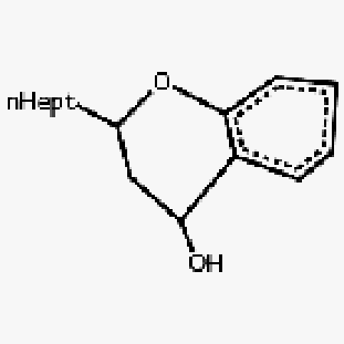 CCCCCCCC1CC(O)c2ccccc2O1